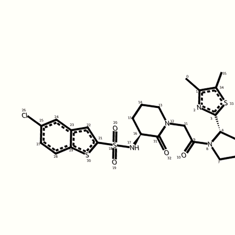 Cc1nc([C@@H]2CCCN2C(=O)CN2CCC[C@H](NS(=O)(=O)c3cc4cc(Cl)ccc4s3)C2=O)sc1C